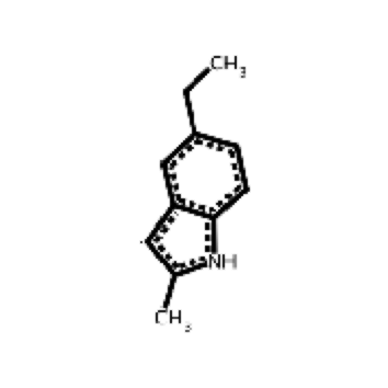 CCc1ccc2[nH]c(C)[c]c2c1